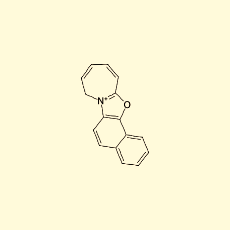 C1=CC[n+]2c(oc3c4ccccc4ccc32)C=C1